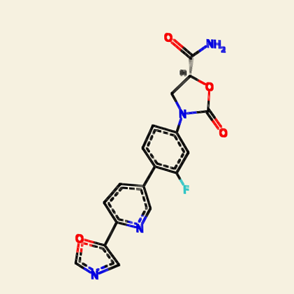 NC(=O)[C@H]1CN(c2ccc(-c3ccc(-c4cnco4)nc3)c(F)c2)C(=O)O1